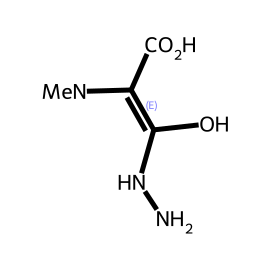 CN/C(C(=O)O)=C(/O)NN